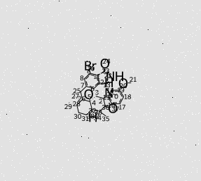 CN[C@@H]1C[C@@]23Oc4c(cc(Br)c5c4[C@@H](c4ccccc4OC)NC5=O)C[C@]2(C)[C@@H](C)CC[C@H]3C(C)(C)C1=O